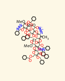 CCC1O[C@@H](O[C@H]2C(C(=O)OC)O[C@@H](O[C@@H]3C(COC(=O)c4ccccc4)O[C@H](OC)C(N=[N+]=[N-])[C@@H]3OCc3ccccc3)C(OC(=O)c3ccccc3)[C@H]2OCc2ccccc2)C(N=[N+]=[N-])[C@@H](C)[C@@H]1O[C@@H]1OC(C(=O)OC)[C@@H](O[C@H]2OC(COC(=O)c3ccccc3)[C@@H](OCc3ccccc3)[C@@H](OCc3ccccc3)C2N=[N+]=[N-])[C@@H](OCc2ccccc2)C1OCc1ccccc1